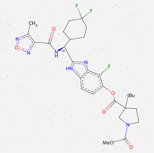 COC(=O)N1CCC(C(=O)Oc2ccc3[nH]c([C@@H](NC(=O)c4nonc4C)C4CCC(F)(F)CC4)nc3c2F)(C(C)(C)C)C1